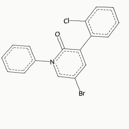 O=c1c(-c2ccccc2Cl)cc(Br)cn1-c1ccccc1